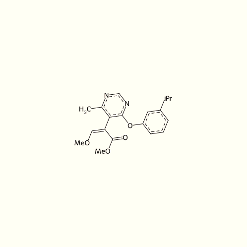 COC=C(C(=O)OC)c1c(C)ncnc1Oc1cccc(C(C)C)c1